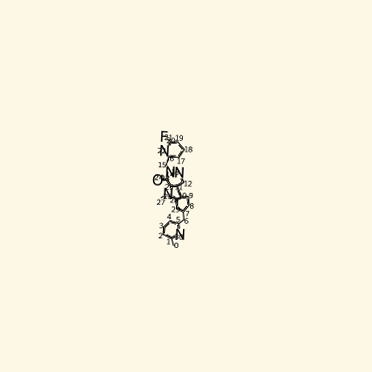 Cc1cccc(Cc2ccc3c4cnn(Cc5cccc(F)n5)c(=O)c4n(C)c3c2)n1